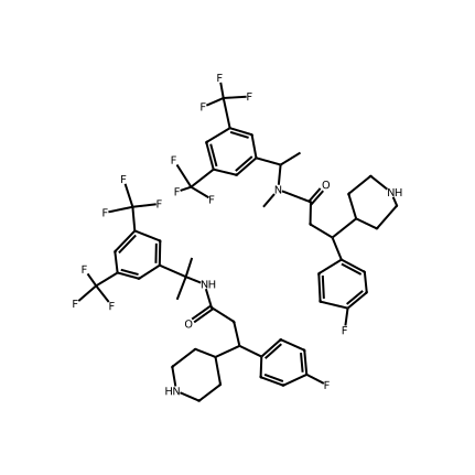 CC(C)(NC(=O)CC(c1ccc(F)cc1)C1CCNCC1)c1cc(C(F)(F)F)cc(C(F)(F)F)c1.CC(c1cc(C(F)(F)F)cc(C(F)(F)F)c1)N(C)C(=O)CC(c1ccc(F)cc1)C1CCNCC1